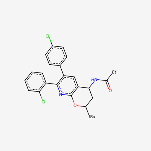 CCC(=O)NC1CC(C(C)(C)C)Oc2nc(-c3ccccc3Cl)c(-c3ccc(Cl)cc3)cc21